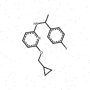 CC(Nc1cccc(OCC2CC2)n1)c1ccc(F)cc1